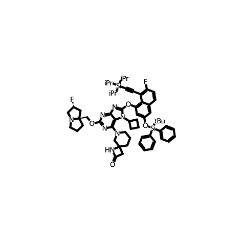 CC(C)[Si](C#Cc1c(F)ccc2cc(O[Si](c3ccccc3)(c3ccccc3)C(C)(C)C)cc(Oc3nc4nc(OC[C@@]56CCCN5C[C@H](F)C6)nc(N5CCCC6(CC(=O)N6)C5)c4n3C3CCC3)c12)(C(C)C)C(C)C